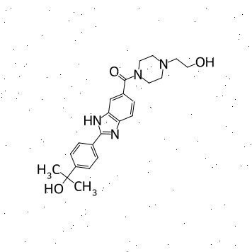 CC(C)(O)c1ccc(-c2nc3ccc(C(=O)N4CCN(CCO)CC4)cc3[nH]2)cc1